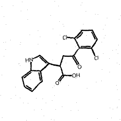 O=C(CC(C(=O)O)c1c[nH]c2ccccc12)c1c(Cl)cccc1Cl